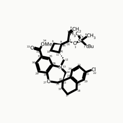 C=C[C@H](O[Si](C)(C)C(C)(C)C)[C@@H]1CC[C@H]1CN1C[C@@]2(CCCc3cc(Cl)ccc32)COc2ccc(C(=O)OC)cc21